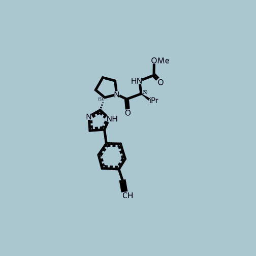 C#Cc1ccc(-c2cnc([C@@H]3CCCN3C(=O)[C@@H](NC(=O)OC)C(C)C)[nH]2)cc1